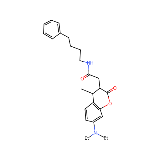 CCN(CC)c1ccc2c(c1)OC(=O)C(CC(=O)NCCCCc1ccccc1)C2C